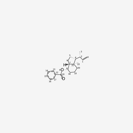 C=C[C@@H](C)[C@H]1CC[C@H]2[C@@H](OC(=O)c3ccccc3)CCC[C@]12C